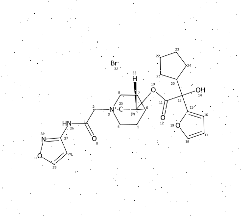 O=C(C[N+]12CCC(CC1)[C@@H](OC(=O)C(O)(c1ccco1)C1CCCC1)C2)Nc1ccon1.[Br-]